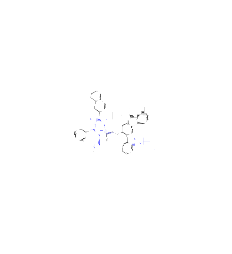 C=C/C(=C\Cc1cc2c(cc1-c1ccccc1N)-c1ccccc1C2(C)C)C1N=C(c2ccc3ccccc3c2)N=C(c2ccccc2)N1